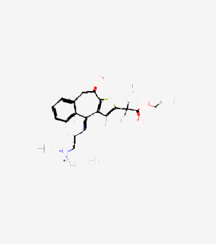 CCOC(=O)C(C)(C)c1cc2c(s1)C(=O)Cc1ccccc1/C2=C\CCN(C)C.Cl